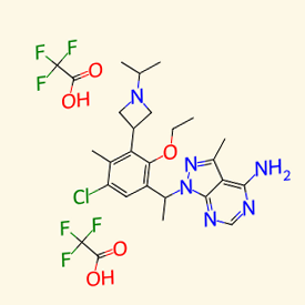 CCOc1c(C(C)n2nc(C)c3c(N)ncnc32)cc(Cl)c(C)c1C1CN(C(C)C)C1.O=C(O)C(F)(F)F.O=C(O)C(F)(F)F